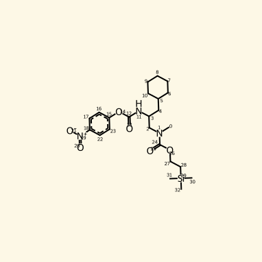 CN(CC(CC1CCCCC1)NC(=O)Oc1ccc([N+](=O)[O-])cc1)C(=O)OCC[Si](C)(C)C